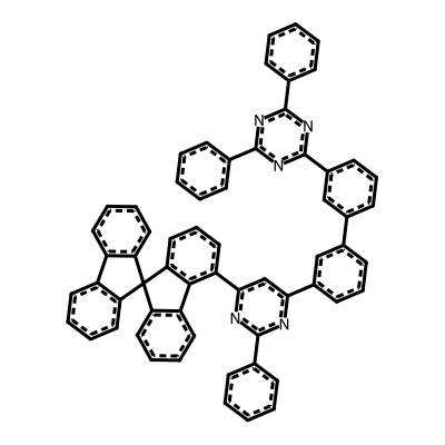 c1ccc(-c2nc(-c3cccc(-c4cccc(-c5nc(-c6ccccc6)nc(-c6ccccc6)n5)c4)c3)cc(-c3cccc4c3-c3ccccc3C43c4ccccc4-c4ccccc43)n2)cc1